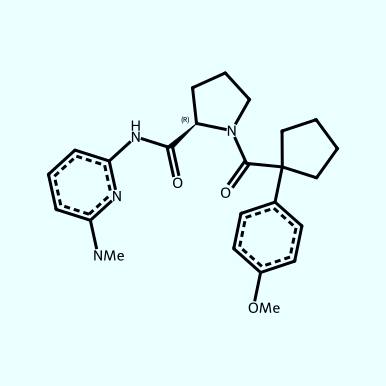 CNc1cccc(NC(=O)[C@H]2CCCN2C(=O)C2(c3ccc(OC)cc3)CCCC2)n1